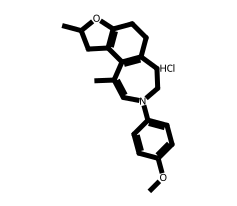 COc1ccc(N2C=C(C)C3=C(CCC4=C3CC(C)O4)CC2)cc1.Cl